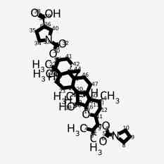 CC(C)[C@@H](OC(=O)N1CCC1)C1C[C@@H](C)[C@H]2C(O1)[C@H](O)[C@@]1(C)C3CC[C@H]4C(C)(C)[C@@H](OC(=O)N5CC[C@@H](C(=O)O)C5)CC[C@@]45C[C@@]35CC[C@]21C